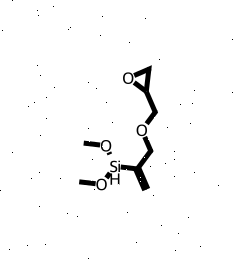 C=C(COCC1CO1)[SiH](OC)OC